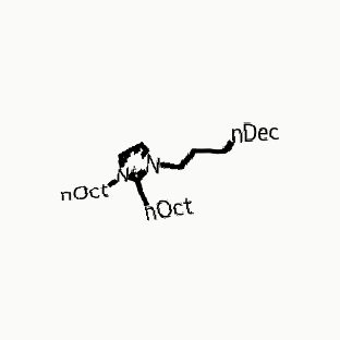 CCCCCCCCCCCCCn1cc[n+](CCCCCCCC)c1CCCCCCCC